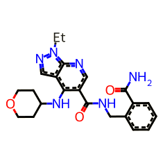 CCn1ncc2c(NC3CCOCC3)c(C(=O)NCc3ccccc3C(N)=O)cnc21